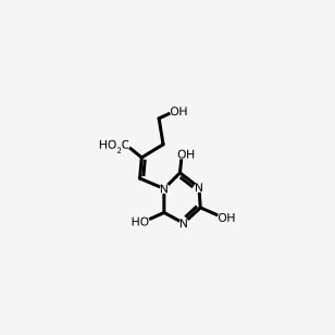 O=C(O)C(=CN1C(O)=NC(O)=NC1O)CCO